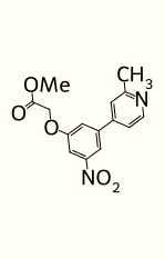 COC(=O)COc1cc(-c2ccnc(C)c2)cc([N+](=O)[O-])c1